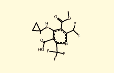 COC(=O)c1c(C(F)F)nc(C(F)(F)F)c(C(=O)O)c1NC1(C)CC1